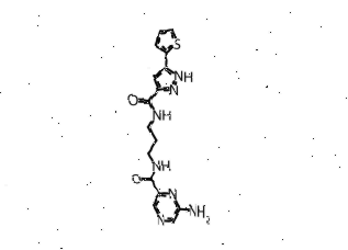 Nc1cncc(C(=O)NCCCNC(=O)c2cc(-c3cccs3)[nH]n2)n1